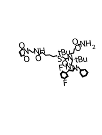 CC(C)(C)C(CCOC(N)=O)N(C(=O)CSCCCCCC(=O)NCCN1C(=O)C=CC1=O)[C@@H](c1nc(-c2cc(F)ccc2F)cn1Cc1ccccc1)C(C)(C)C